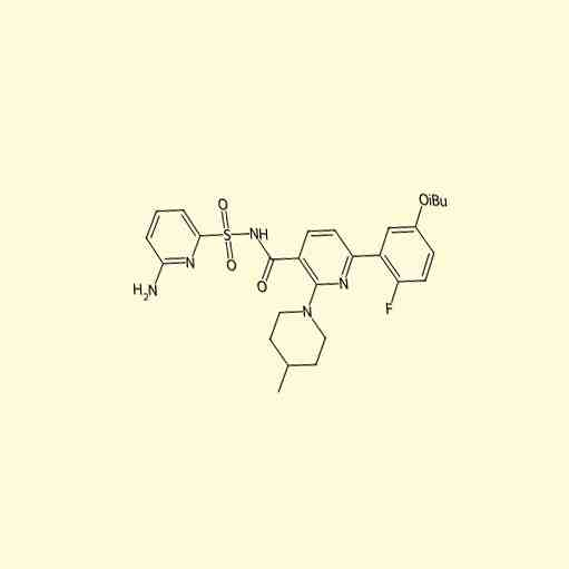 CC(C)COc1ccc(F)c(-c2ccc(C(=O)NS(=O)(=O)c3cccc(N)n3)c(N3CCC(C)CC3)n2)c1